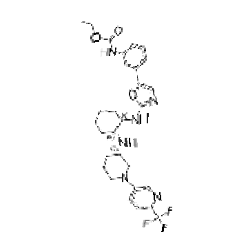 CCOC(=O)Nc1cccc(-c2cnc(N[C@@H]3CCCC[C@H]3N[C@H]3CCCN(c4ccc(C(F)(F)F)nc4)C3)o2)c1